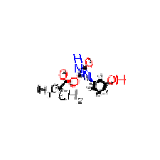 C=C(C)C(=O)OC1NC(=O)N1c1cccc(O)c1